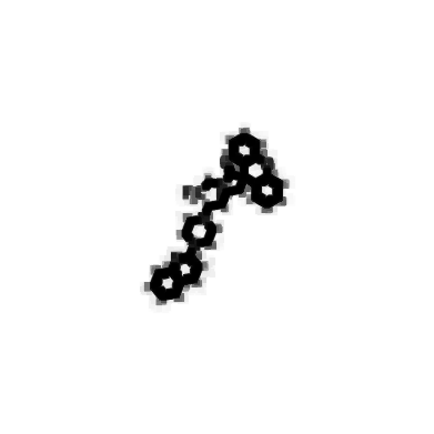 O=C(NCC(F)(F)F)C1(CCCCN2CCN(c3ccc4ccccc4n3)CC2)c2ccccc2Oc2ccccc21